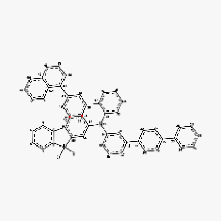 CC1(C)c2ccccc2-c2ccc(N(c3cccc(-c4ccc(-c5ccccc5)cc4)c3)c3ccccc3-c3cccc(-c4cccc5ccccc45)c3)cc21